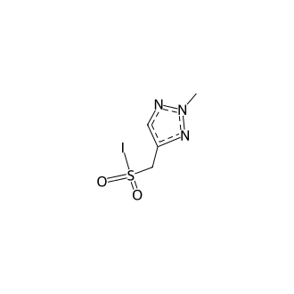 Cn1ncc(CS(=O)(=O)I)n1